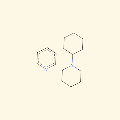 C1CCC(N2CCCCC2)CC1.c1ccncc1